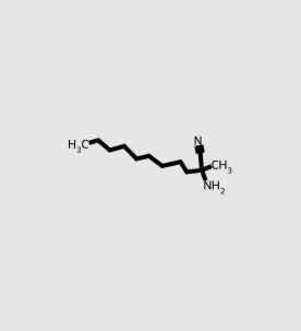 CCCCCCCCCC(C)(N)C#N